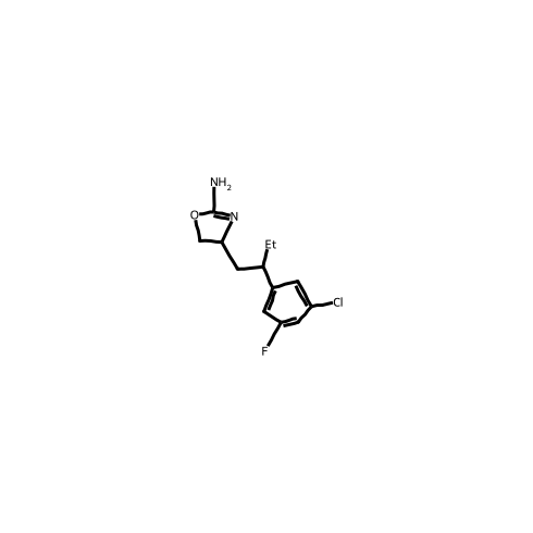 CCC(CC1COC(N)=N1)c1cc(F)cc(Cl)c1